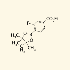 CCOC(=O)c1ccc(B2OC(C)(C)C(C)(C)O2)c(F)c1